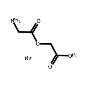 NCC(=O)OCC(=O)O.[Na]